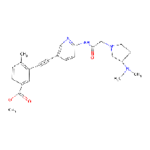 COC(=O)c1ccc(C)c(C#Cc2ccc(NC(=O)CN3CCC(N(C)C)C3)nc2)c1